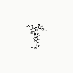 COC(=O)CCc1ccc2c(c1)CCN(c1cc(Oc3ncc(C)s3)c(OC)cc1F)C2